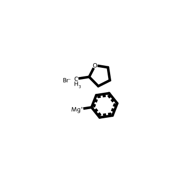 CC1CCCO1.[Br-].[Mg+][c]1ccccc1